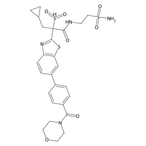 NS(=O)(=O)CCNC(=O)C(CC1CC1)(c1nc2ccc(-c3ccc(C(=O)N4CCOCC4)cc3)cc2s1)[SH](=O)=O